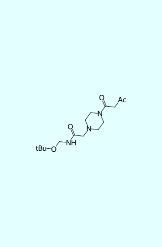 CC(=O)CC(=O)N1CCN(CC(=O)NCOC(C)(C)C)CC1